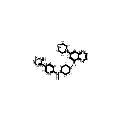 c1cnc2c(O[C@H]3CC[C@@H](Nc4ccc(-c5nnn[nH]5)cn4)CC3)cc(N3CCOCC3)cc2n1